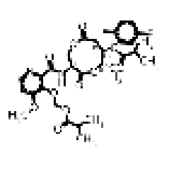 COc1ccnc(C(=O)N[C@H]2COC(=O)[C@H](Cc3ccc(F)cc3)[C@@H](OC(=O)C(C)C)[C@H](C)OC2=O)c1OCOC(=O)C(C)C